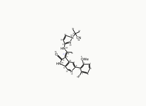 COc1cccc(F)c1-c1cc2c(cn1)NC(=O)/C2=C(/C)Nc1ccn(C(C)(C)C#N)n1